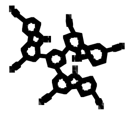 N#Cc1ccc2[nH]c3c(-c4cc(-c5cc(C#N)cc6c5[nH]c5ccc(C#N)cc56)cc(-c5cc(C#N)cc6c5[nH]c5ccc(C#N)cc56)c4)cc(C#N)cc3c2c1